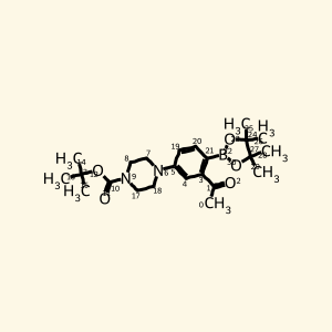 CC(=O)c1cc(N2CCN(C(=O)OC(C)(C)C)CC2)ccc1B1OC(C)(C)C(C)(C)O1